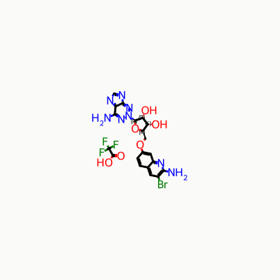 Nc1nc2cc(OC[C@H]3O[C@@H](n4nc5ncnc-5c(N)n4)[C@H](O)[C@@H]3O)ccc2cc1Br.O=C(O)C(F)(F)F